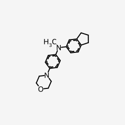 CN(c1ccc(N2CCOCC2)cc1)c1ccc2c(c1)CCC2